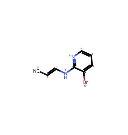 N#CC=CNc1ncccc1Br